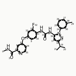 CNC(=O)c1cc(Oc2ccc(NC(=O)Nc3cc(C(C)C)nn3-c3cccc(C)c3)c(F)c2)ccn1